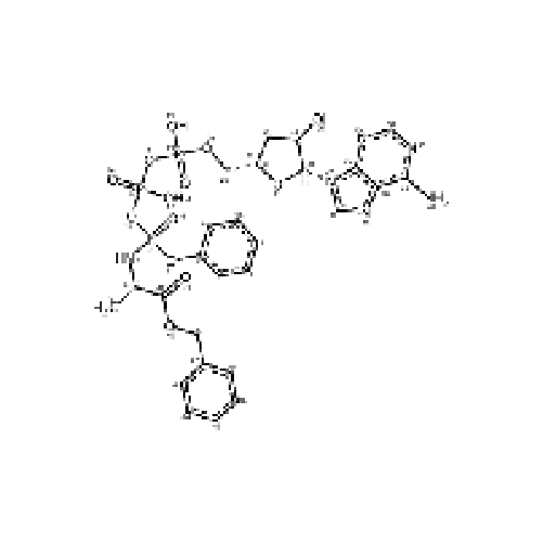 C[C@H](NP(=O)(Oc1ccccc1)OP(=O)(O)OP(=O)(O)OC[C@@H]1CC(O)[C@H](n2cnc3c(N)ncnc32)O1)C(=O)OCc1ccccc1